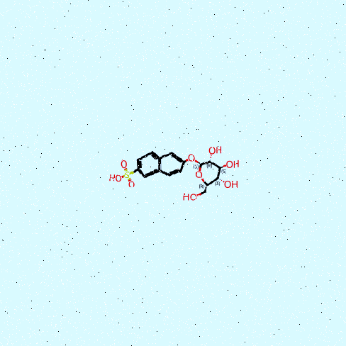 O=S(=O)(O)c1ccc2cc(O[C@@H]3O[C@H](CO)[C@@H](O)[C@H](O)[C@H]3O)ccc2c1